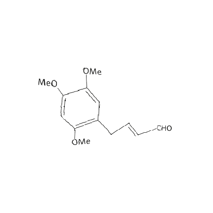 COc1cc(OC)c(OC)cc1CC=CC=O